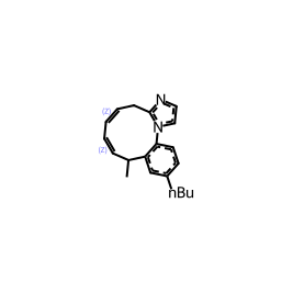 CCCCc1ccc2c(c1)C(C)/C=C\C=C/Cc1nccn1-2